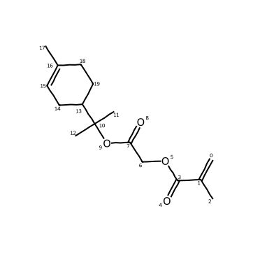 C=C(C)C(=O)OCC(=O)OC(C)(C)C1CC=C(C)CC1